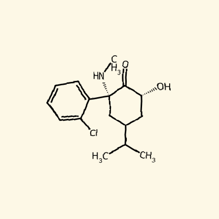 CN[C@@]1(c2ccccc2Cl)CC(C(C)C)C[C@@H](O)C1=O